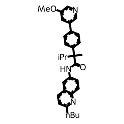 CCCCc1ccc2cc(NC(=O)C(C)(c3ccc(-c4cncc(OC)c4)cc3)C(C)C)ccc2n1